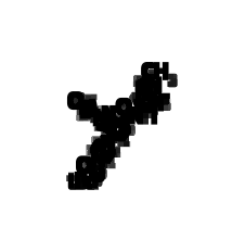 Cc1cn2cc(NC(=O)c3ccc(N4CCN(C(=O)OC(C)(C)C)CC4)c4cn(C5CC(=O)C5)nc34)cc(F)c2n1